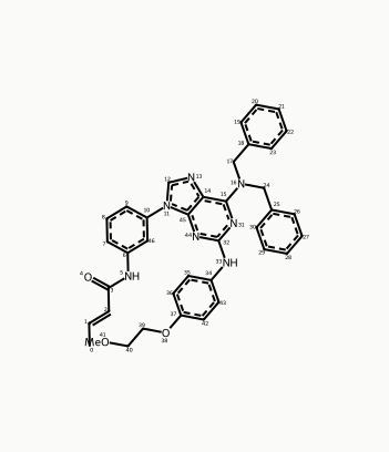 CC=CC(=O)Nc1cccc(-n2cnc3c(N(Cc4ccccc4)Cc4ccccc4)nc(Nc4ccc(OCCOC)cc4)nc32)c1